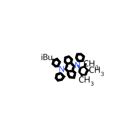 CCC(C)c1ccc(N(c2ccccc2)c2c3ccccc3c(N(C3=CC(C)C=C(C)C3C)c3ccccc3)c3ccccc23)cc1